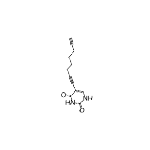 C#CCCCCC#Cc1c[nH]c(=O)[nH]c1=O